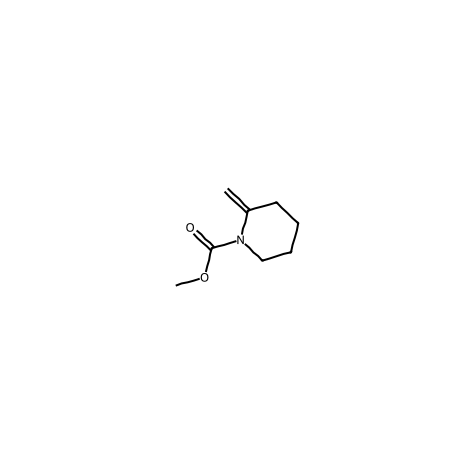 C=C1CCCCN1C(=O)OC